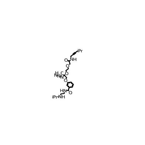 CC(C)C#CCNC(=O)COCCOC(C)(COc1cccc(C(=O)NCCNC(C)C)c1)N=[N+]=[N-]